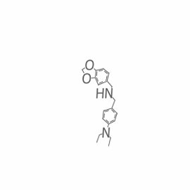 CCN(CC)c1ccc(CNCc2ccc3c(c2)OCO3)cc1